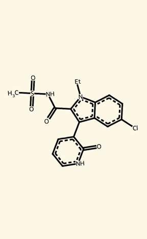 CCn1c(C(=O)NS(C)(=O)=O)c(-c2ccc[nH]c2=O)c2cc(Cl)ccc21